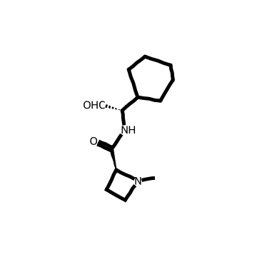 CN1CC[C@H]1C(=O)N[C@H](C=O)C1CCCCC1